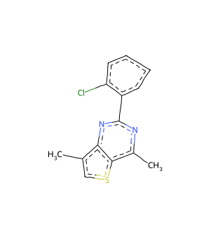 Cc1csc2c(C)nc(-c3ccccc3Cl)nc12